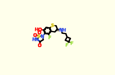 O=C1CN(c2c(O)cc3c(c2F)C[C@H](NCCC2CC(F)(F)C2)CS3)S(=O)(=O)N1